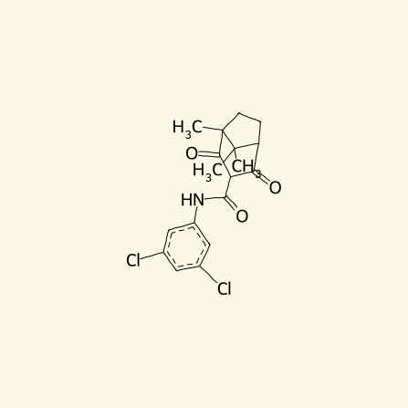 CC12CCC(C(=O)C(C(=O)Nc3cc(Cl)cc(Cl)c3)C1=O)C2(C)C